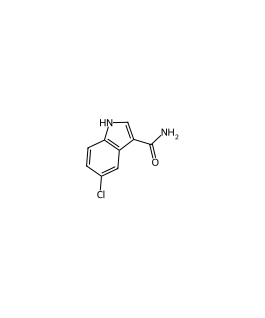 NC(=O)c1c[nH]c2ccc(Cl)cc12